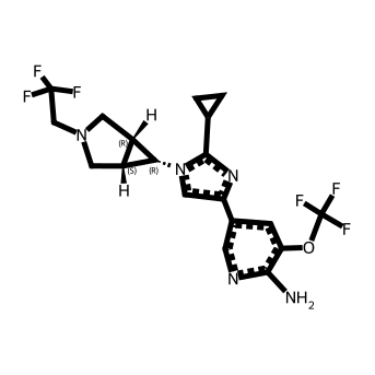 Nc1ncc(-c2cn([C@@H]3[C@@H]4CN(CC(F)(F)F)C[C@@H]43)c(C3CC3)n2)cc1OC(F)(F)F